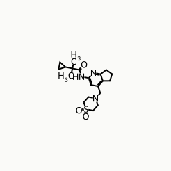 CC(C)(C(=O)Nc1cc(CN2CCS(=O)(=O)CC2)c2c(n1)CCC2)C1CC1